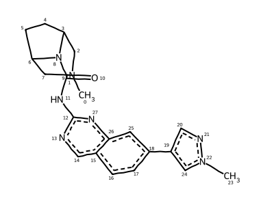 CN1CC2CCC(C1)N2C(=O)Nc1ncc2ccc(-c3cnn(C)c3)cc2n1